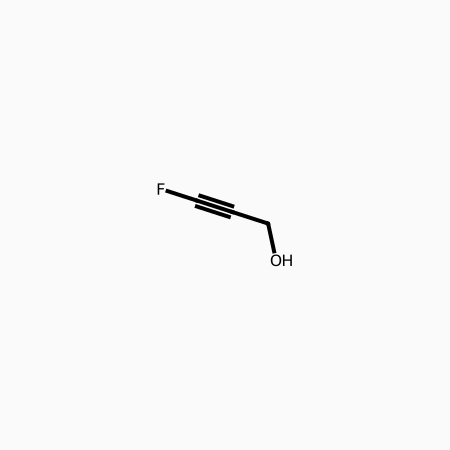 OCC#CF